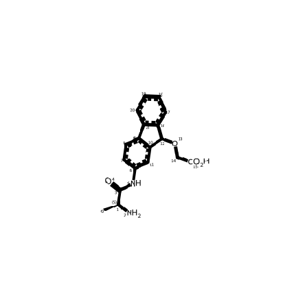 C[C@H](N)C(=O)Nc1ccc2c(c1)C(OCC(=O)O)c1ccccc1-2